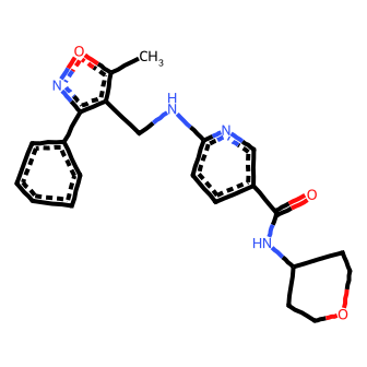 Cc1onc(-c2ccccc2)c1CNc1ccc(C(=O)NC2CCOCC2)cn1